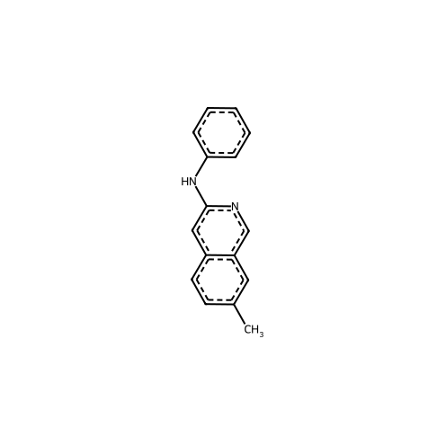 Cc1ccc2cc(Nc3ccccc3)ncc2c1